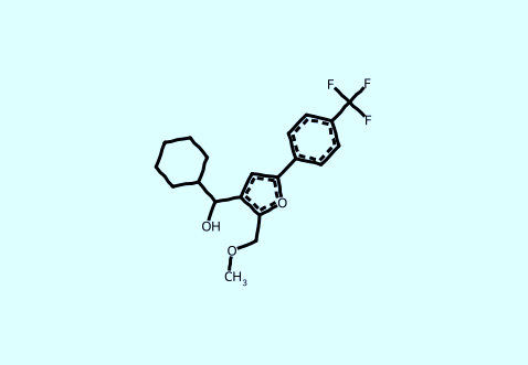 COCc1oc(-c2ccc(C(F)(F)F)cc2)cc1C(O)C1CCCCC1